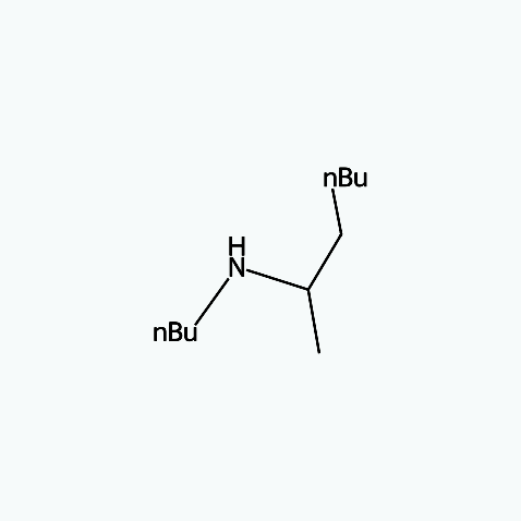 CCCCCC(C)NCCCC